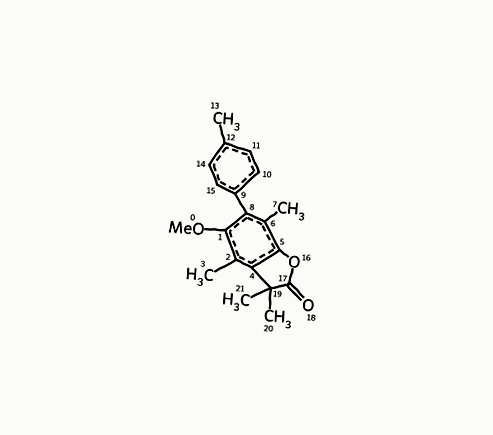 COc1c(C)c2c(c(C)c1-c1ccc(C)cc1)OC(=O)C2(C)C